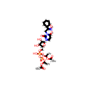 CC(C)C(OC(=O)C(C)(C)C)OP(=O)(OC(OC(=O)C(C)(C)C)C(C)C)OP(=O)(O)OC[C@H]1O[C@@H](n2ccc(=O)n(Cc3noc4ccccc34)c2=O)[C@@H](O)C1O